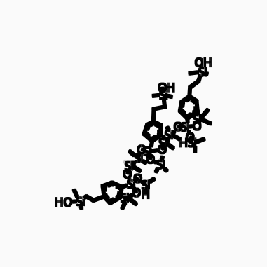 C[SiH](C)O[Si](O[Si](C)(C)C)(O[Si](C)(C)[Si](C)(C)O[Si](O[Si](C)(C)C)(O[Si](C)(C)[Si](C)(C)O[Si](O[SiH](C)C)(O[Si](C)(C)C)c1ccc(CC[Si](C)(C)O)cc1)c1ccc(CC[Si](C)(C)O)cc1)c1ccc(CC[Si](C)(C)O)cc1